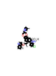 C[C@@H]1CCN(CC2COc3cc4c(cc3OC2)C2(CCC(Nc3cccc(Cl)c3)(C(=O)O)CC2)[C@@H](C[C@@H](C)COc2ccnc3c2[C@H](C)CCC3)C4)C1